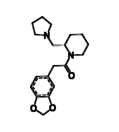 O=C(Cc1ccc2c(c1)OCO2)N1CCCC[C@H]1CN1CCCC1